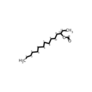 CCCCCCCCCCCCC(CC)O[C]=O